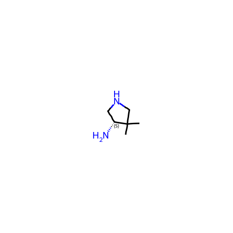 CC1(C)CNC[C@H]1N